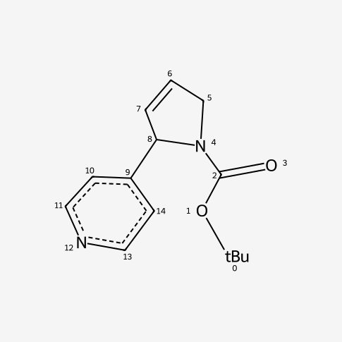 CC(C)(C)OC(=O)N1CC=CC1c1ccncc1